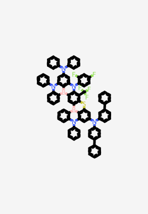 Fc1ccc(N2c3cc(N(c4ccccc4)c4ccccc4)cc4c3B(c3ccccc3N4c3ccccc3)c3cc4c(c(C(F)(F)F)c32)Sc2cc(N(c3ccc(-c5ccccc5)cc3)c3cccc(-c5ccccc5)c3)cc3c2B4c2ccccc2N3c2ccccc2)c(F)c1